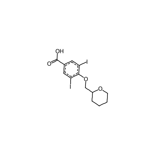 O=C(O)c1cc(I)c(OCC2CCCCO2)c(I)c1